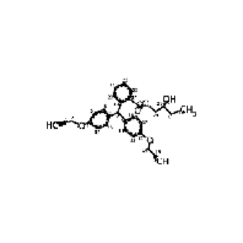 C#CCOc1ccc(C(c2ccc(OCC#C)cc2)c2ccccc2C(=O)OCC(O)CC)cc1